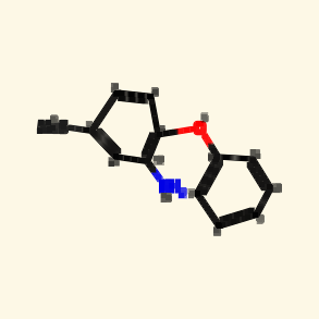 CSc1ccc(Oc2ccccc2)c(N)c1